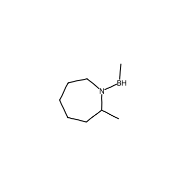 CBN1CCCCCC1C